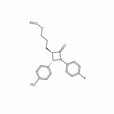 COOCCC[C@H]1C(=O)N(c2ccc(F)cc2)[C@@H]1c1ccc(O)cc1